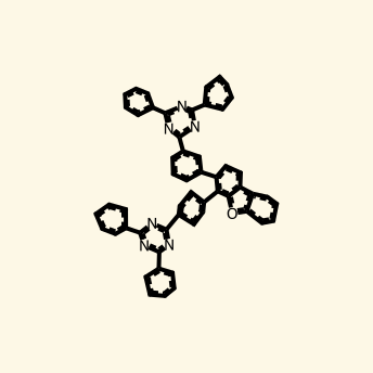 c1ccc(-c2nc(-c3ccccc3)nc(-c3ccc(-c4c(-c5cccc(-c6nc(-c7ccccc7)nc(-c7ccccc7)n6)c5)ccc5c4oc4ccccc45)cc3)n2)cc1